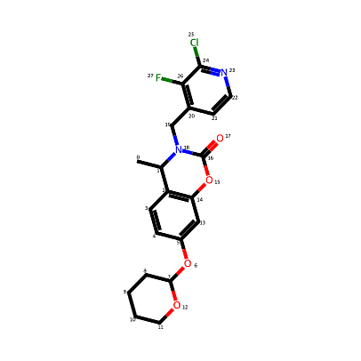 CC1c2ccc(OC3CCCCO3)cc2OC(=O)N1Cc1ccnc(Cl)c1F